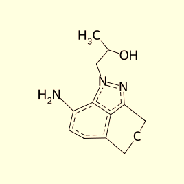 CC(O)Cn1nc2c3c(ccc(N)c31)CCC2